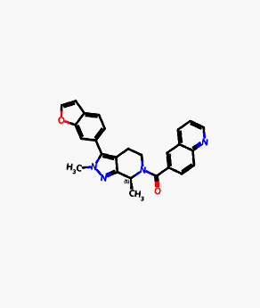 C[C@H]1c2nn(C)c(-c3ccc4ccoc4c3)c2CCN1C(=O)c1ccc2ncccc2c1